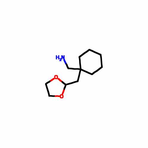 NCC1(CC2OCCO2)CCCCC1